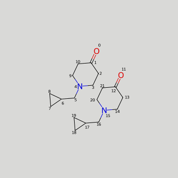 O=C1CCN(CC2CC2)CC1.O=C1CCN(CC2CC2)CC1